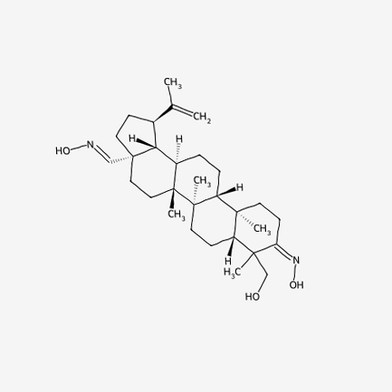 C=C(C)[C@@H]1CC[C@]2(/C=N/O)CC[C@]3(C)[C@H](CC[C@@H]4[C@@]5(C)CC/C(=N/O)C(C)(CO)[C@@H]5CC[C@]43C)[C@@H]12